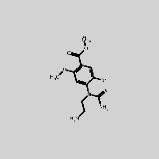 COC(=O)c1cc(Br)c(N(CCN)C(N)=S)cc1OC